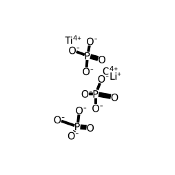 O=P([O-])([O-])[O-].O=P([O-])([O-])[O-].O=P([O-])([O-])[O-].[C+4].[Li+].[Ti+4]